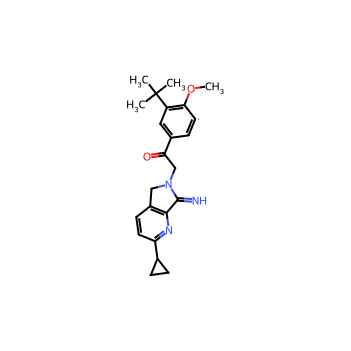 COc1[c]cc(C(=O)CN2Cc3ccc(C4CC4)nc3C2=N)cc1C(C)(C)C